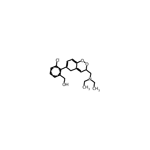 CCN(CC)CC1C=C2CC(c3c(Cl)cccc3CO)=CC=C2OO1